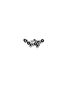 CN(C)CC[C@H](CSc1ccccc1)Nc1ccc(SNC(=O)c2ccc(N3CCC(C)(C)CC3)cc2)cc1[N+](=O)[O-]